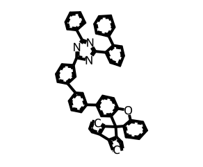 c1ccc(-c2nc(-c3cccc(-c4cccc(-c5ccc6c(c5)C5(c7ccccc7O6)c6ccccc6-c6ccccc65)c4)c3)nc(-c3ccccc3-c3ccccc3)n2)cc1